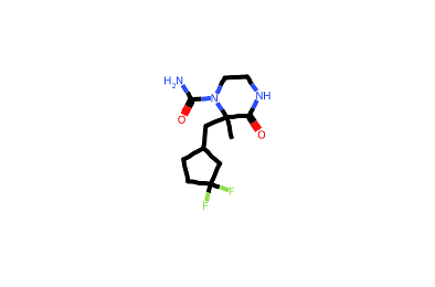 CC1(CC2CCC(F)(F)C2)C(=O)NCCN1C(N)=O